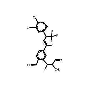 C=Cc1ccc(/C(F)=C/C(c2ccc(Cl)c(Cl)c2)C(F)(F)F)cc1C(F)C(C)C=O